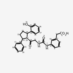 O=C(O)Cc1cccc(NC(=O)NCC(=O)N2C(c3ccccc3)CCC2c2ccccc2O)c1